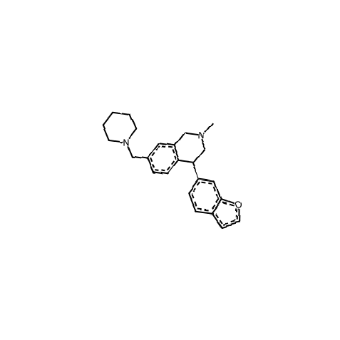 CN1Cc2cc(CN3CCCCC3)ccc2C(c2ccc3ccoc3c2)C1